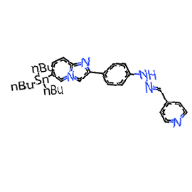 CCC[CH2][Sn]([CH2]CCC)([CH2]CCC)[c]1ccc2nc(-c3ccc(NN=Cc4ccncc4)cc3)cn2c1